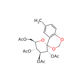 CC(=O)OC[C@H]1O[C@]2(OCOc3ccc(C)cc32)[C@H](OC(C)=O)[C@@H](OC(C)=O)[C@@H]1OC(C)=O